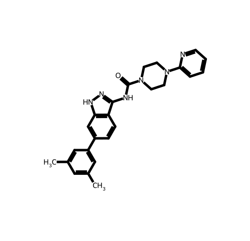 Cc1cc(C)cc(-c2ccc3c(NC(=O)N4CCN(c5ccccn5)CC4)n[nH]c3c2)c1